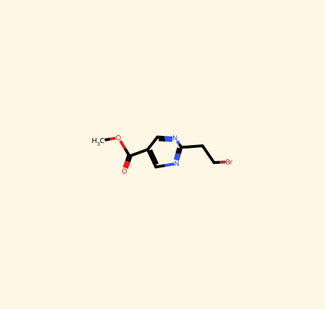 COC(=O)c1cnc(CCBr)nc1